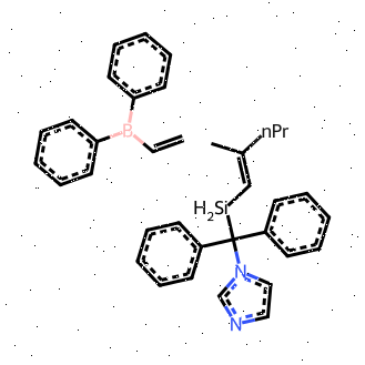 C=CB(c1ccccc1)c1ccccc1.CCCC(C)=C[SiH2]C(c1ccccc1)(c1ccccc1)n1ccnc1